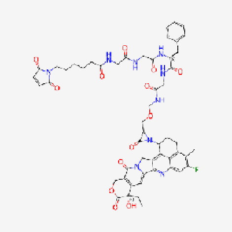 CC[C@@]1(O)C(=O)OCc2c1cc1n(c2=O)Cc2c-1nc1cc(F)c(C)c3c1c2C(N1C(=O)C1COCNC(=O)CNC(=O)[C@H](Cc1ccccc1)NC(=O)CNC(=O)CNC(=O)CCCCCN1C(=O)C=CC1=O)CC3